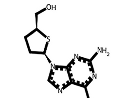 Nc1nc(Cl)c2ncn([C@H]3CC[C@@H](CO)S3)c2n1